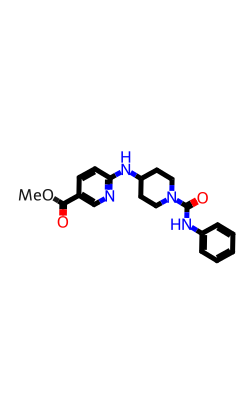 COC(=O)c1ccc(NC2CCN(C(=O)Nc3ccccc3)CC2)nc1